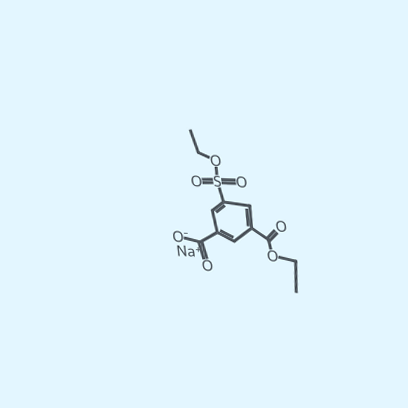 CCOC(=O)c1cc(C(=O)[O-])cc(S(=O)(=O)OCC)c1.[Na+]